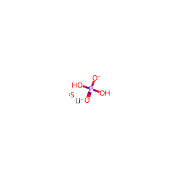 O=P([O-])(O)O.[Li+].[S]